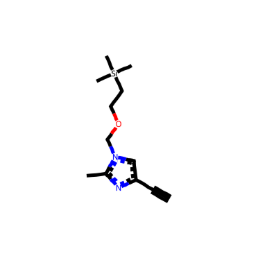 C#Cc1cn(COCC[Si](C)(C)C)c(C)n1